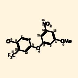 COc1cc(Oc2ccc(Cl)c(C(F)(F)F)c2)cc([N+](=O)[O-])c1